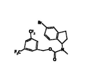 CN(C(=O)OCc1cc(C(F)(F)F)cc(C(F)(F)F)c1)C1CCc2cc(Br)ccc21